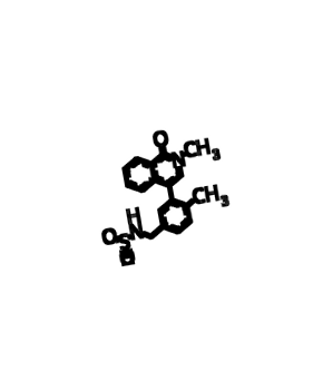 Cc1ccc(CN[SH](=O)=O)cc1-c1cn(C)c(=O)c2ccccc12